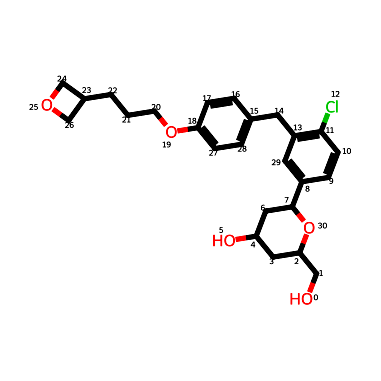 OCC1CC(O)CC(c2ccc(Cl)c(Cc3ccc(OCCCC4COC4)cc3)c2)O1